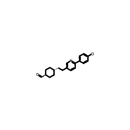 O=C[C@H]1CC[C@H](CCc2ccc(-c3ccc(Cl)cc3)nc2)CC1